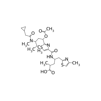 CC(=O)OC(CC(C(C)C)N(C)C(=O)CC1CC1)c1nc(C(=O)NC(Cc2nc(C)cs2)CC(C)C(=O)O)cs1